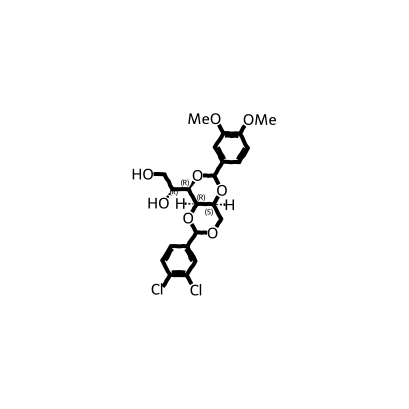 COc1ccc(C2O[C@H]([C@H](O)CO)[C@@H]3OC(c4ccc(Cl)c(Cl)c4)OC[C@@H]3O2)cc1OC